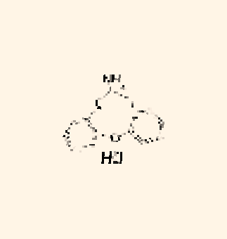 Cl.NC1Cc2ccccc2Oc2ccccc2C1